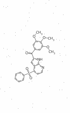 COc1cc(C(=O)c2cc3c(S(=O)(=O)c4ccccc4)ccnc3[nH]2)cc(OC)c1OC